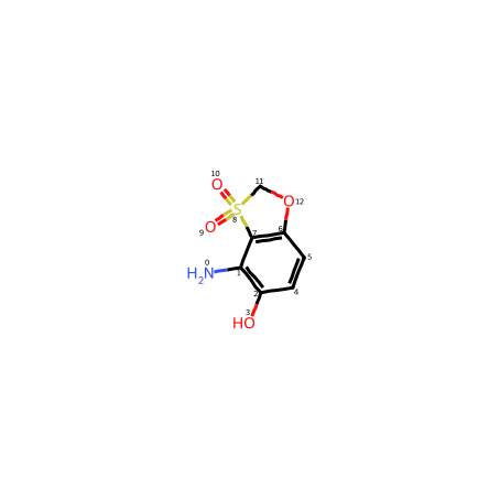 Nc1c(O)ccc2c1S(=O)(=O)CO2